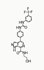 O=C(Nc1ccc(-c2cnc(C(=O)NCCO)c3[nH]ncc23)cc1)Nc1cccc(C(F)(F)F)c1